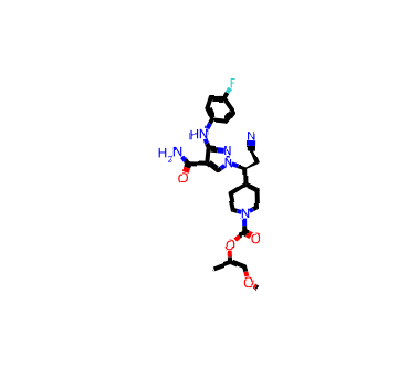 COCC(C)OC(=O)N1CCC([C@H](CC#N)n2cc(C(N)=O)c(Nc3ccc(F)cc3)n2)CC1